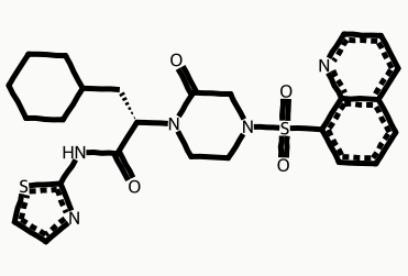 O=C(Nc1nccs1)[C@H](CC1CCCCC1)N1CCN(S(=O)(=O)c2cccc3cccnc23)CC1=O